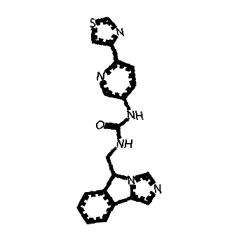 O=C(NCC1c2ccccc2-c2cncn21)Nc1ccc(-c2cscn2)nc1